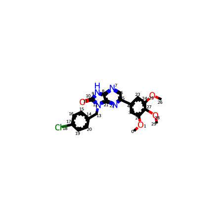 COc1cc(-c2cnc3[nH]c(=O)n(Cc4ccc(Cl)cc4)c3n2)cc(OC)c1OC